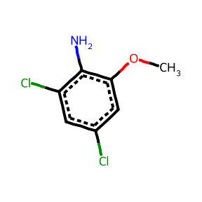 COc1cc(Cl)cc(Cl)c1N